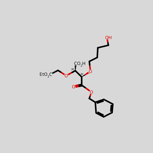 CCOC(=O)CO[C@@H](C(=O)O)[C@@H](OCCCCO)C(=O)OCc1ccccc1